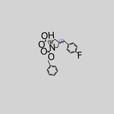 O=C(O)[C@@H]1C/C(=C/c2ccc(F)cc2)CN1C(=O)OCc1ccccc1